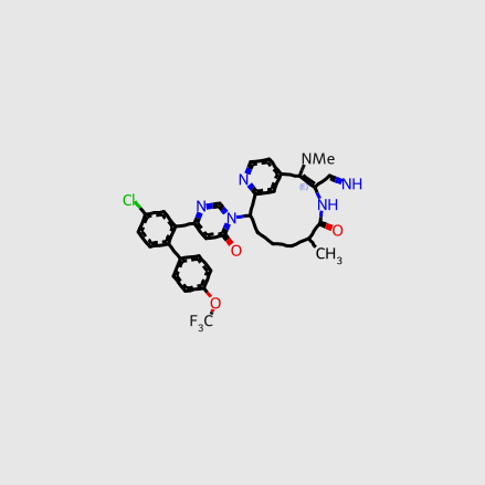 CN/C1=C(\C=N)NC(=O)C(C)CCCC(n2cnc(-c3cc(Cl)ccc3-c3ccc(OC(F)(F)F)cc3)cc2=O)c2cc1ccn2